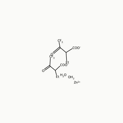 CCC(C(=O)[O-])C(=O)C(F)(F)F.CCC(C(=O)[O-])C(=O)C(F)(F)F.O.O.[Zn+2]